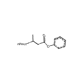 CCCCCC(C)CC(=O)Oc1ccccc1